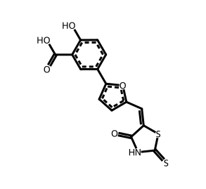 O=C1NC(=S)S/C1=C/c1ccc(-c2ccc(O)c(C(=O)O)c2)o1